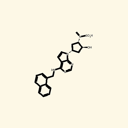 CN([C@H]1C[C@@H](n2ccc3c(NCc4cccc5ccccc45)ncnc32)C[C@@H]1O)S(=O)(=O)O